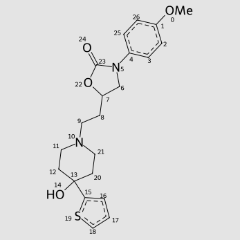 COc1ccc(N2CC(CCN3CCC(O)(c4cccs4)CC3)OC2=O)cc1